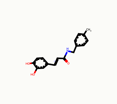 Cc1ccc(CNC(=O)/C=C/c2ccc(O)c(O)c2)cc1